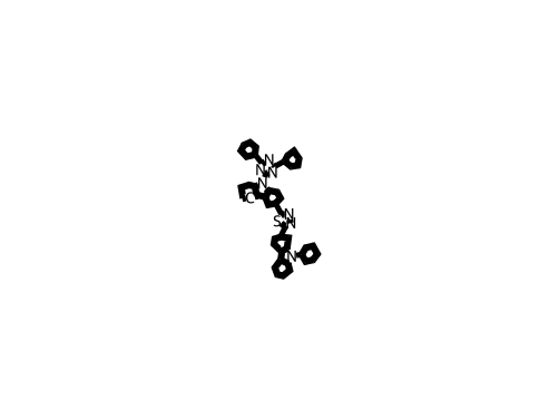 c1ccc(-c2nc(-c3ccccc3)nc(-n3c4ccccc4c4cc(-c5nnc(-c6ccc7c8ccccc8n(-c8ccccc8)c7c6)s5)ccc43)n2)cc1